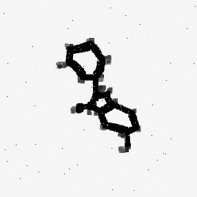 [O-][S+]1c2cc(F)ccc2CN1c1ccccc1